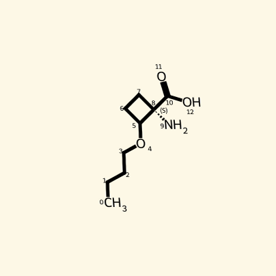 CCCCOC1CC[C@@]1(N)C(=O)O